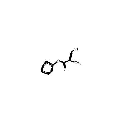 BC=C(C)C(=O)Oc1ccccc1